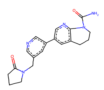 NC(=O)N1CCCc2cc(-c3cncc(CN4CCCC4=O)c3)cnc21